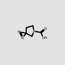 O=C(O)N1CCC2(C1)N=N2